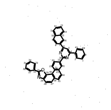 c1ccc(-c2cc(-c3ccc4ccccc4c3)nc(-c3ccc4c(ccc5ccc6nc(-c7ccccc7)oc6c54)c3)n2)cc1